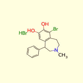 Br.CN1CCc2c(cc(O)c(O)c2Br)C(c2ccccc2)C1